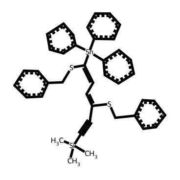 C[Si](C)(C)C#CC(=CC=[C](SCc1ccccc1)[Sn]([c]1ccccc1)([c]1ccccc1)[c]1ccccc1)SCc1ccccc1